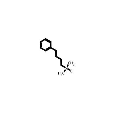 C[Si](C)(Cl)CCCCc1ccccc1